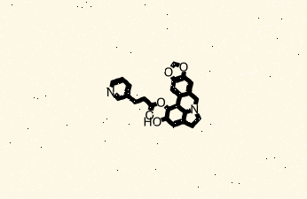 O=C(CCc1cccnc1)OC1C(O)C=C2CCN3Cc4cc5c(cc4C1C23)OCO5